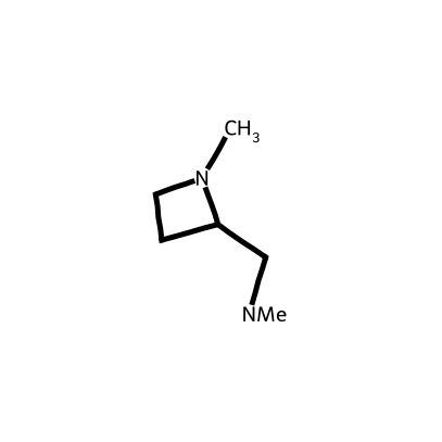 CNCC1CCN1C